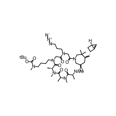 CN[C@@H](C)C(=O)N(C)C(C)C(=O)N(C)[C@@H](C)C(=O)N(CCCCN(C)C(=O)OC(C)(C)C)CC(=O)N(CCCN=[N+]=[N-])CC(=O)N1CC(=O)C/C(=C/[C@@H]2C[C@@H]3C=C23)C(C)(C)C1